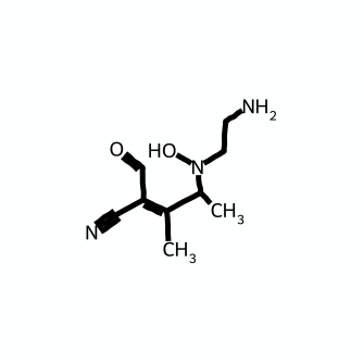 C/C(=C(\C#N)C=O)C(C)N(O)CCN